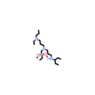 CCCN(CC)CCCN(CCCNC(CC)CC)C[Si](CC)(OC)OC